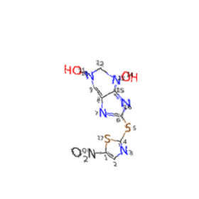 O=[N+]([O-])c1cnc(SC2=NC3=CN(O)CN(O)C3=N2)s1